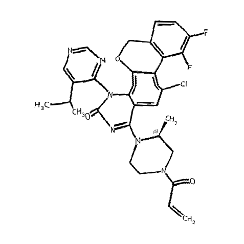 C=CC(=O)N1CCN(c2nc(=O)n(-c3ncncc3C(C)C)c3c4c(c(Cl)cc23)-c2c(ccc(F)c2F)CO4)[C@@H](C)C1